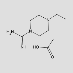 CC(=O)O.CCN1CCN(C(=N)N)CC1